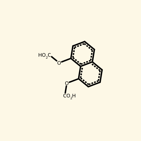 O=C(O)Oc1cccc2cccc(OC(=O)O)c12